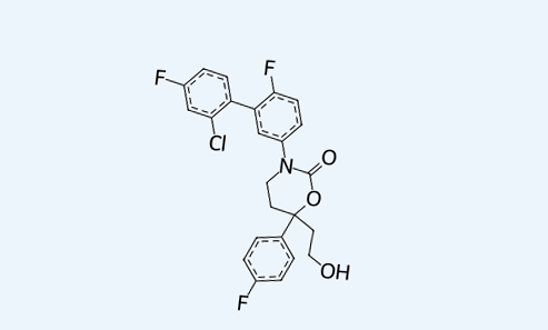 O=C1OC(CCO)(c2ccc(F)cc2)CCN1c1ccc(F)c(-c2ccc(F)cc2Cl)c1